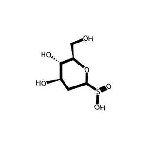 O=S(O)C1C[C@@H](O)[C@H](O)[C@@H](CO)O1